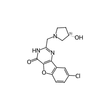 O=c1[nH]c(CN2CC[C@H](O)C2)nc2c1oc1ccc(Cl)cc12